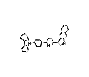 c1ccc2cn3ncc(-c4ccc(-c5ccc(-n6c7ccccc7c7ccccc76)cc5)nc4)c3cc2c1